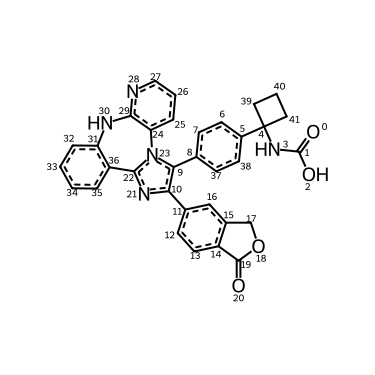 O=C(O)NC1(c2ccc(-c3c(-c4ccc5c(c4)COC5=O)nc4n3-c3cccnc3Nc3ccccc3-4)cc2)CCC1